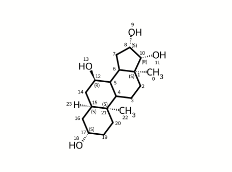 C[C@]12CCC3C(C1C[C@H](O)[C@@H]2O)[C@H](O)C[C@@H]1C[C@@H](O)CC[C@]31C